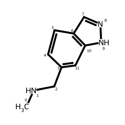 CNCc1ccc2cn[nH]c2c1